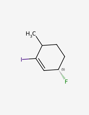 CC1CC[C@H](F)C=C1I